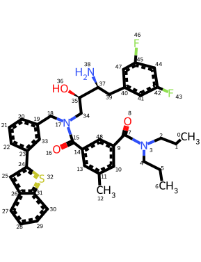 CCCN(CCC)C(=O)c1cc(C)cc(C(=O)N(Cc2cccc(-c3cc4ccccc4s3)c2)C[C@@H](O)[C@@H](N)Cc2cc(F)cc(F)c2)c1